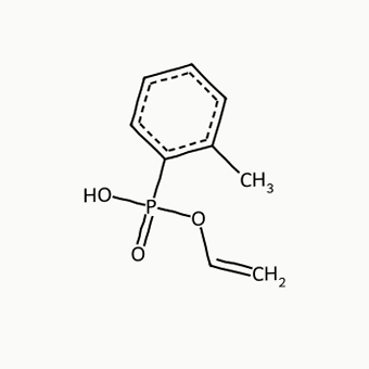 C=COP(=O)(O)c1ccccc1C